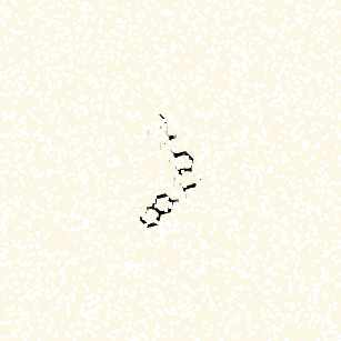 CCNC(=O)Nc1ccc2ncc(Nc3ccc4ncccc4c3)nc2n1